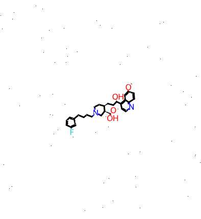 COc1ccc2nccc([C@@H](O)CC[C@@H]3CCN(CCCCc4cccc(F)c4)C[C@@H]3C(=O)O)c2c1